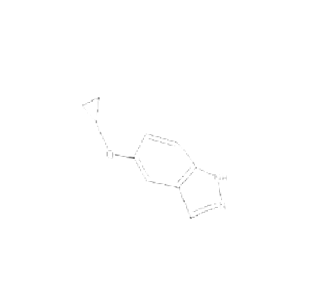 c1cc2[nH]ncc2cc1OC1CC1